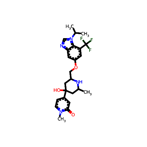 CC1CC(O)(c2ccn(C)c(=O)c2)CC(COc2cc(C(F)(F)F)c3c(c2)ncn3C(C)C)N1